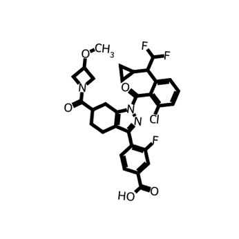 COC1CN(C(=O)C2CCc3c(-c4ccc(C(=O)O)cc4F)nn(C(=O)c4c(Cl)cccc4C(C(F)F)C4CC4)c3C2)C1